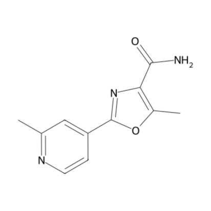 Cc1cc(-c2nc(C(N)=O)c(C)o2)ccn1